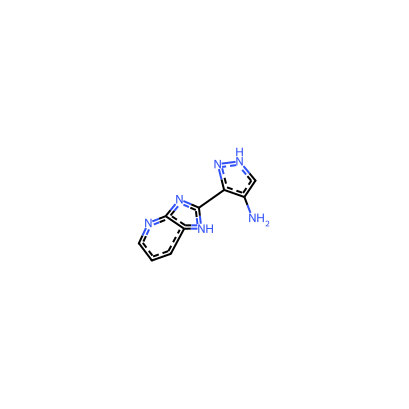 Nc1c[nH]nc1-c1nc2ncccc2[nH]1